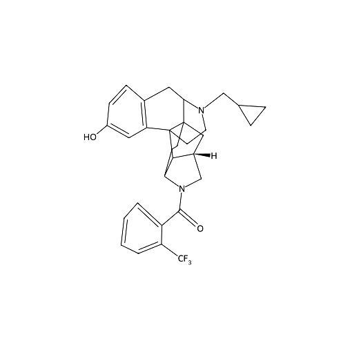 O=C(c1ccccc1C(F)(F)F)N1C[C@H]2CC34CCC1C2C31CCN(CC2CC2)C4Cc2ccc(O)cc21